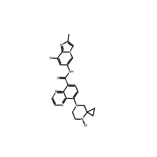 CCN1CCN(c2ccc(C(=O)Nc3cc(F)c4nc(C)cn4c3)c3nccnc23)CC12CC2